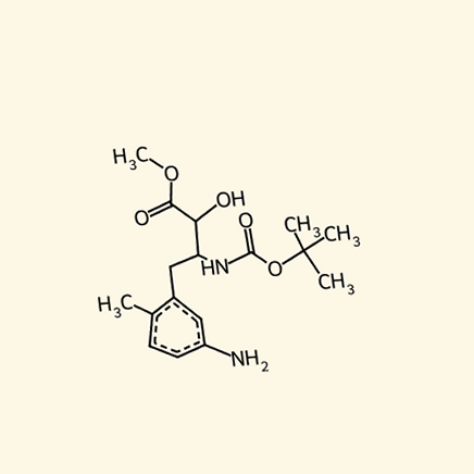 COC(=O)C(O)C(Cc1cc(N)ccc1C)NC(=O)OC(C)(C)C